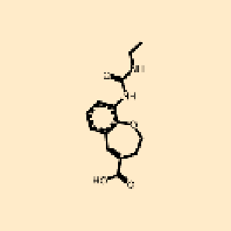 CCNC(=O)Nc1cccc2c1OCCC(C(=O)O)=C2